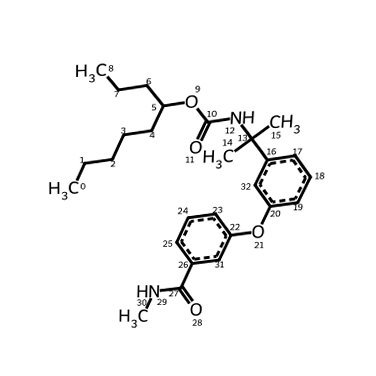 CCCCCC(CCC)OC(=O)NC(C)(C)c1cccc(Oc2cccc(C(=O)NC)c2)c1